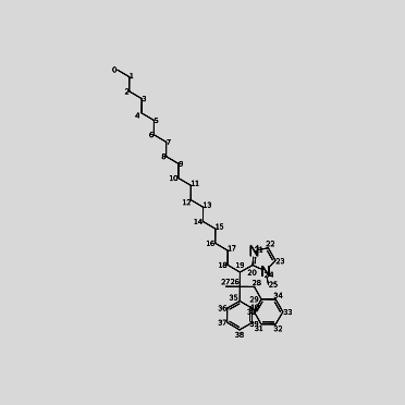 CCCCCCCCCCCCCCCCCCCC(c1nccn1C)C(C)(Cc1ccccc1)c1ccccc1